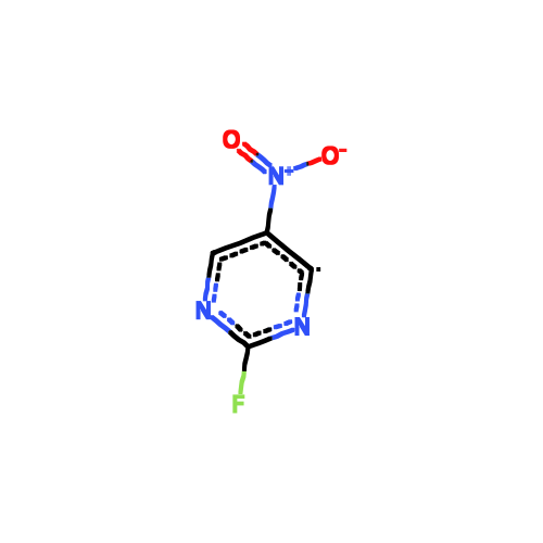 O=[N+]([O-])c1[c]nc(F)nc1